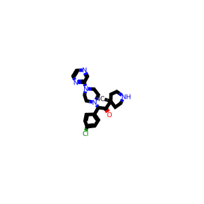 N#CC1(C(=O)C(c2ccc(Cl)cc2)N2CCN(c3cnccn3)CC2)CCNCC1